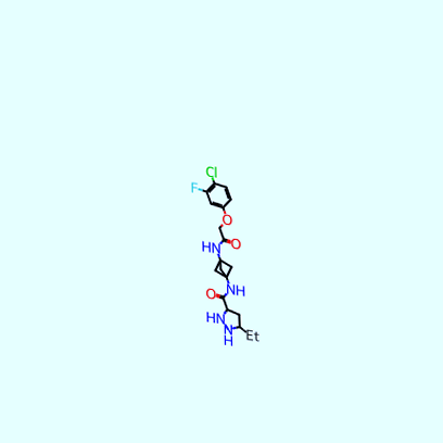 CCC1CC(C(=O)NC23CC(NC(=O)COc4ccc(Cl)c(F)c4)(C2)C3)NN1